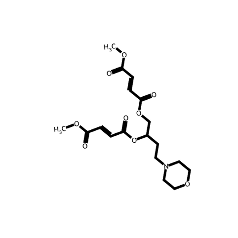 COC(=O)/C=C/C(=O)OCC(CCN1CCOCC1)OC(=O)/C=C/C(=O)OC